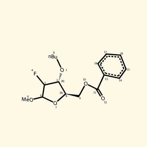 CCCCO[C@H]1C(F)C(OC)O[C@@H]1COC(=O)c1ccccc1